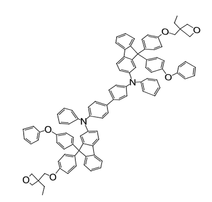 CCC1(COc2ccc(C3(c4ccc(Oc5ccccc5)cc4)c4ccccc4-c4ccc(N(c5ccccc5)c5ccc(-c6ccc(N(c7ccccc7)c7ccc8c(c7)C(c7ccc(OCC9(CC)COC9)cc7)(c7ccc(Oc9ccccc9)cc7)c7ccccc7-8)cc6)cc5)cc43)cc2)COC1